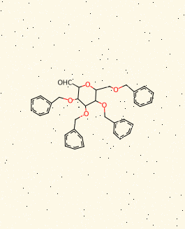 O=CC1OC(COCc2ccccc2)C(OCc2ccccc2)C(OCc2ccccc2)C1OCc1ccccc1